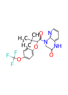 CC(C)(C)C(Oc1ccc(OC(F)(F)F)cc1)C(=O)N1CC(=O)Nc2cccnc21